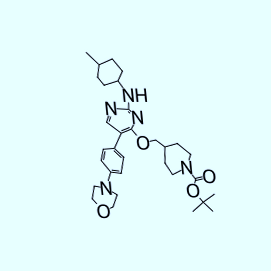 CC1CCC(Nc2ncc(-c3ccc(N4CCOCC4)cc3)c(OCC3CCN(C(=O)OC(C)(C)C)CC3)n2)CC1